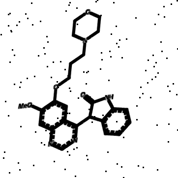 COc1cc2ncnc(C3C(=O)Nc4ccccc43)c2cc1OCCCN1CCOCC1